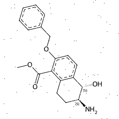 COC(=O)c1c(OCc2ccccc2)ccc2c1CC[C@H](N)[C@H]2O